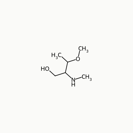 CNC(CO)C(C)OC